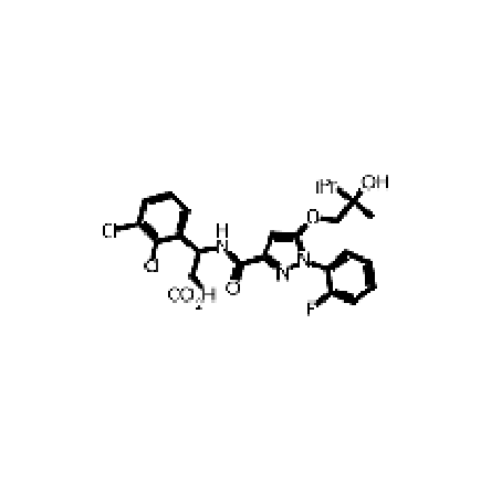 CC(C)C(C)(O)COc1cc(C(=O)NC(CC(=O)O)c2cccc(Cl)c2Cl)nn1-c1ccccc1F